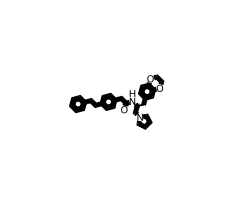 O=C(Cc1ccc(CCc2ccccc2)cc1)N[C@@H](Cc1ccc2c(c1)OCCO2)CN1CCCC1